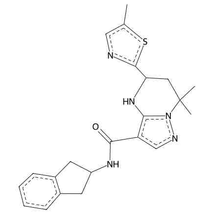 Cc1cnc(C2CC(C)(C)n3ncc(C(=O)NC4Cc5ccccc5C4)c3N2)s1